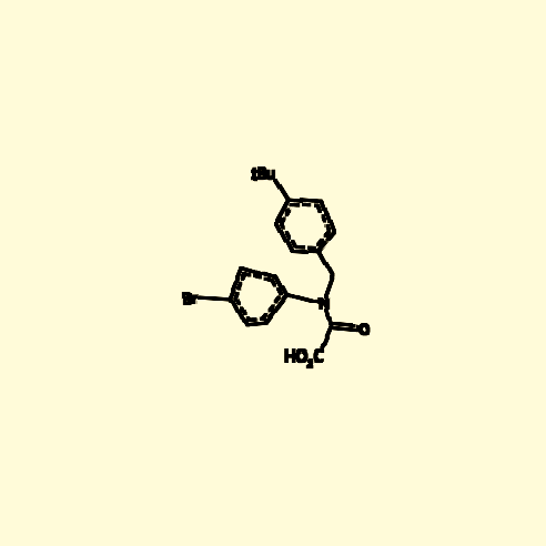 CC(C)(C)c1ccc(CN(C(=O)C(=O)O)c2ccc(Br)cc2)cc1